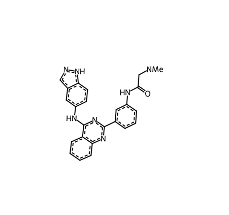 CNCC(=O)Nc1cccc(-c2nc(Nc3ccc4[nH]ncc4c3)c3ccccc3n2)c1